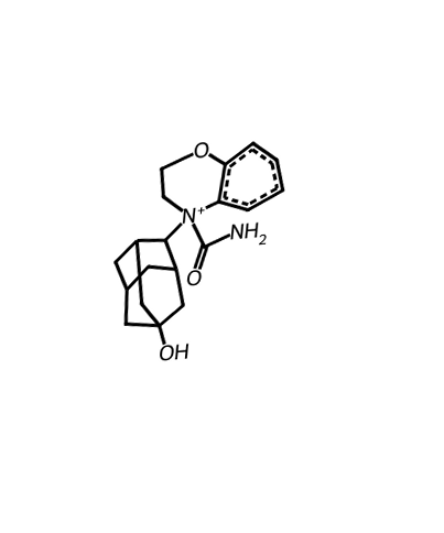 NC(=O)[N+]1(C2C3CC4CC2CC(O)(C4)C3)CCOc2ccccc21